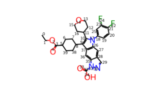 CCOC(=O)C1CCC(c2c(C3CCOCC3)n(-c3ccc(F)c(F)c3)c3cc4cnn(C(=O)O)c4cc23)CC1